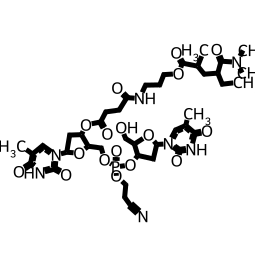 CCC(CC(C)C(=O)OCCCNC(=O)CCC(=O)OC1CC(n2cc(C)c(=O)[nH]c2=O)OC1COP(=O)(OCCC#N)OC1CC(n2cc(C)c(=O)[nH]c2=O)OC1CO)C(=O)N(C)C